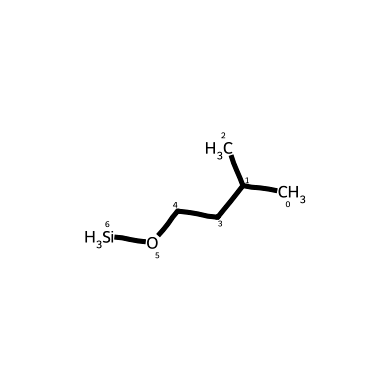 CC(C)CCO[SiH3]